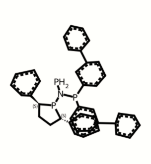 PN(P(c1cccc(-c2ccccc2)c1)c1cccc(-c2ccccc2)c1)P1[C@H](c2ccccc2)CC[C@H]1c1ccccc1